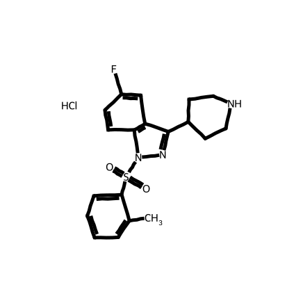 Cc1ccccc1S(=O)(=O)n1nc(C2CCNCC2)c2cc(F)ccc21.Cl